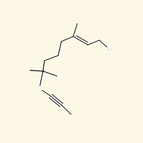 CC#COC(C)(C)CCCC(C)=CCBr